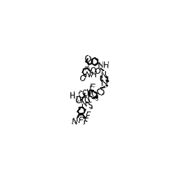 CC1(C)C(=O)N(c2ccc(C#N)c(C(F)(F)F)c2)C(=S)N1c1ccc(OCCN2CCN(CC(=O)Nc3ccc4occ([C@H]5CCC(=O)NC5=O)c4c3)CC2)c(F)c1